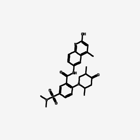 Cc1cc(O)nc2ccc(NC(=O)c3cc(S(=O)(=O)N(C)C)ccc3N3CC(C)C(=O)CC3C)cc12